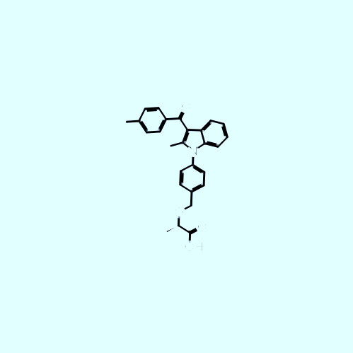 Cc1ccc(C(=O)c2c(C)n(-c3ccc(CO[C@H](C)C(=O)O)cc3)c3ccccc23)cc1